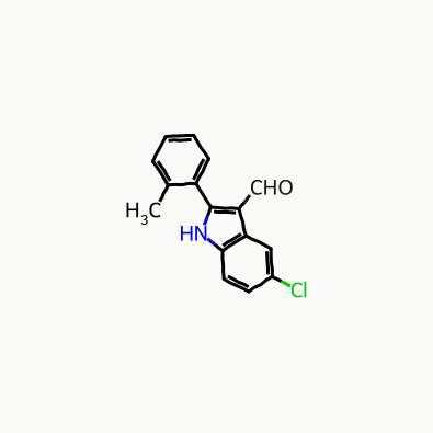 Cc1ccccc1-c1[nH]c2ccc(Cl)cc2c1C=O